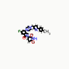 Cc1ccc(-c2ccc(CN3CCN(c4cc(F)cc5c4CN(C4CCC(=O)NC4=O)C5=O)CC3)cn2)cc1